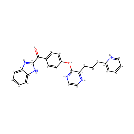 O=C(c1ccc(Oc2nccnc2CCCc2ccccn2)cc1)c1nc2ccccc2[nH]1